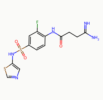 N=C(N)CCC(=O)Nc1ccc(S(=O)(=O)Nc2cncs2)cc1F